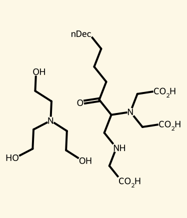 CCCCCCCCCCCCCC(=O)C(CNCC(=O)O)N(CC(=O)O)CC(=O)O.OCCN(CCO)CCO